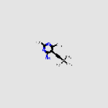 Cc1nc(C)c(C#C[Si](C)(C)C)c(N)n1